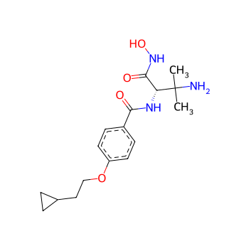 CC(C)(N)[C@H](NC(=O)c1ccc(OCCC2CC2)cc1)C(=O)NO